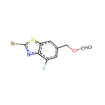 O=COCc1cc(F)c2nc(Br)sc2c1